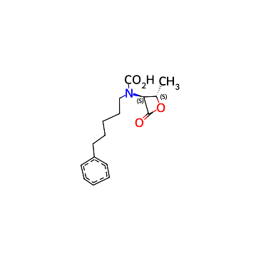 C[C@@H]1OC(=O)[C@H]1N(CCCCCc1ccccc1)C(=O)O